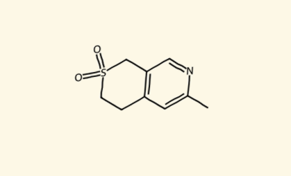 Cc1cc2c(cn1)CS(=O)(=O)CC2